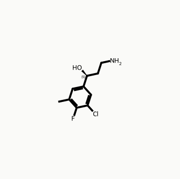 Cc1cc([C@@H](O)CCN)cc(Cl)c1F